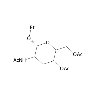 CCO[C@@H]1OC(COC(C)=O)[C@H](OC(C)=O)CC1NC(C)=O